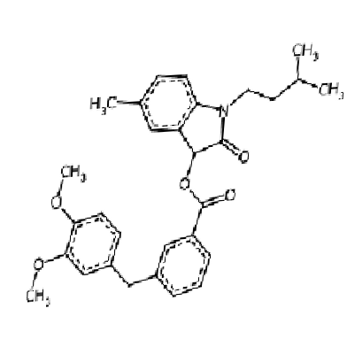 COc1ccc(Cc2cccc(C(=O)OC3C(=O)N(CCC(C)C)c4ccc(C)cc43)c2)cc1OC